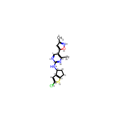 Cc1cc(-c2cnc(NC3CCc4sc(Cl)cc43)nc2C(C)C)on1